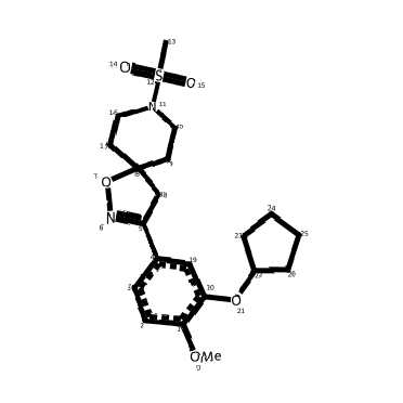 COc1ccc(C2=NOC3(CCN(S(C)(=O)=O)CC3)C2)cc1OC1CCCC1